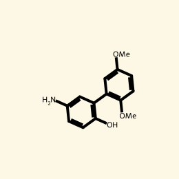 COc1ccc(OC)c(-c2cc(N)ccc2O)c1